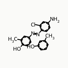 Cc1cc(/N=N/c2ccc(N)cc2Cl)ccc1O.Cc1cccc(O)c1